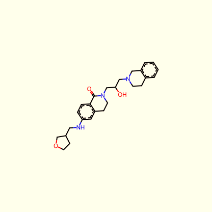 O=C1c2ccc(NCC3CCOC3)cc2CCN1CC(O)CN1CCc2ccccc2C1